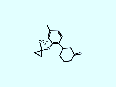 Cc1ccc(C2CCCC(=O)C2)c(OC2(C(=O)O)CC2)c1